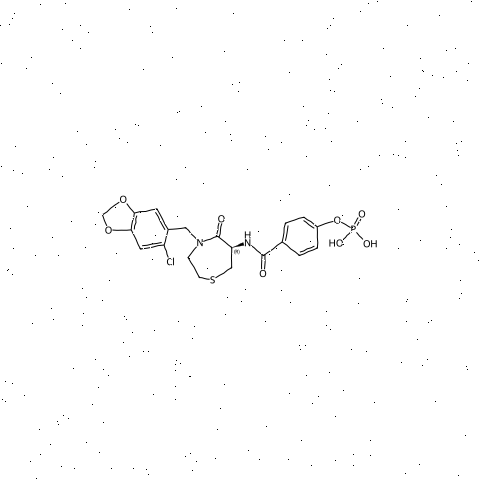 O=C(N[C@H]1CSCCN(Cc2cc3c(cc2Cl)OCO3)C1=O)c1ccc(OP(=O)(O)O)cc1